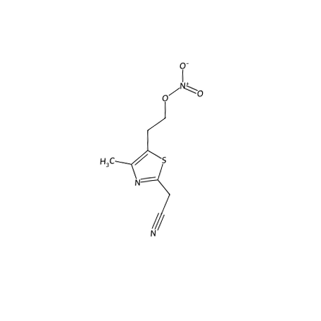 Cc1nc(CC#N)sc1CCO[N+](=O)[O-]